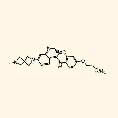 COCCOc1ccc(Nc2ccnc3cc(N4CC5(CN(C)C5)C4)ccc23)c(OC)c1